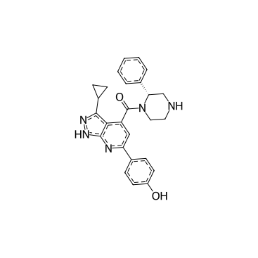 O=C(c1cc(-c2ccc(O)cc2)nc2[nH]nc(C3CC3)c12)N1CCNC[C@H]1c1ccccc1